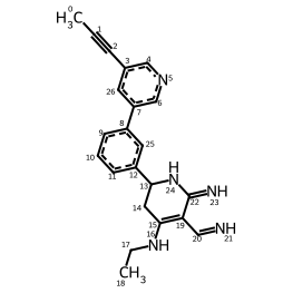 CC#Cc1cncc(-c2cccc(C3CC(NCC)=C(C=N)C(=N)N3)c2)c1